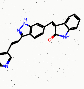 O=C1Nc2ccccc2C1=Cc1ccc2c(C=Cc3cccnc3)n[nH]c2c1